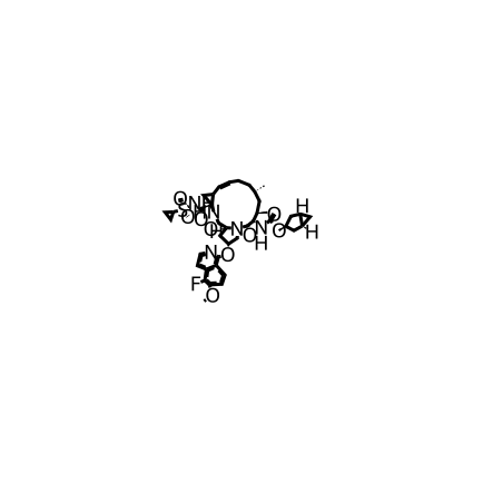 COc1ccc2c(O[C@@H]3C[C@H]4C(=O)N[C@]5(C(=O)NS(=O)(=O)C6CC6)CC5/C=C\CC[C@H](C)C[C@@H](C)[C@H](NC(=O)O[C@@H]5C[C@@H]6C[C@@H]6C5)C(=O)N4C3)nccc2c1F